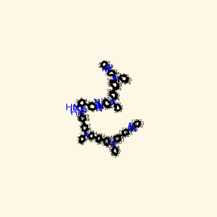 N=C1C=CC=C(c2ccc3nn(-c4ccc(N(c5ccccc5)c5ccc(-c6ccc(N(c7ccccc7)c7ccc(-n8nc9ccccc9n8)cc7)cc6)cc5)cc4)nc3c2)/C1=N/Nc1ccc(-c2ccc(N(c3ccccc3)c3ccc(-c4ccc(-c5ccc(N(c6ccccc6)c6ccc(-c7ccc(-n8nc9ccccc9n8)cc7)cc6)cc5)cc4)cc3)cc2)cc1